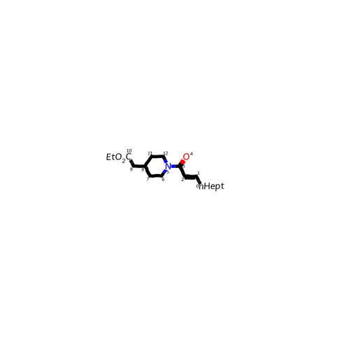 CCCCCCC/C=C/C(=O)N1CCC(CC(=O)OCC)CC1